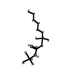 CCCCCCC(C)(C)CC(=O)OC(C)(C)C